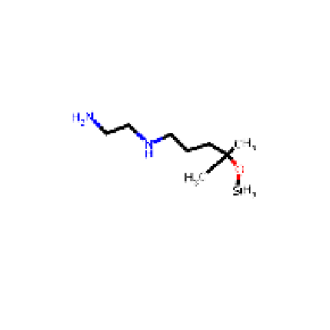 CC(C)(CCCNCCN)O[SiH3]